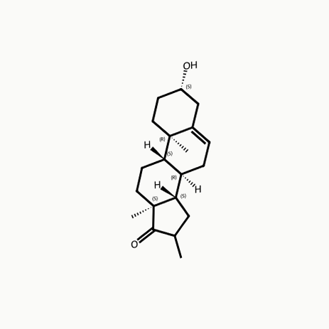 CC1C[C@H]2[C@@H]3CC=C4C[C@@H](O)CC[C@]4(C)[C@H]3CC[C@]2(C)C1=O